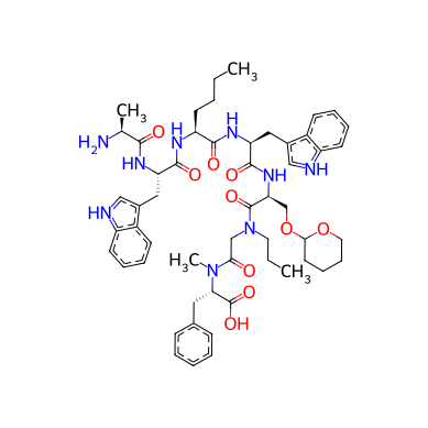 CCCC[C@H](NC(=O)[C@H](Cc1c[nH]c2ccccc12)NC(=O)[C@H](C)N)C(=O)N[C@@H](Cc1c[nH]c2ccccc12)C(=O)N[C@@H](COC1CCCCO1)C(=O)N(CCC)CC(=O)N(C)[C@@H](Cc1ccccc1)C(=O)O